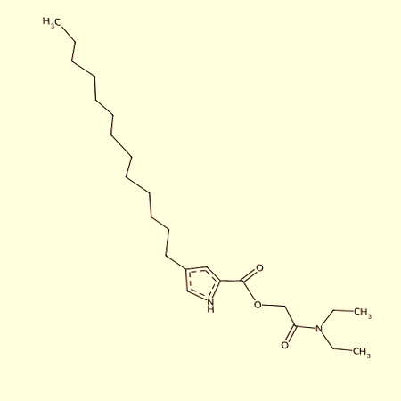 CCCCCCCCCCCCCc1c[nH]c(C(=O)OCC(=O)N(CC)CC)c1